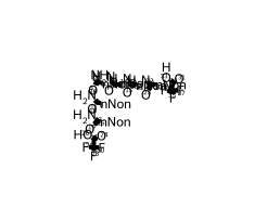 CCCCCCCCCC(N)=O.CCCCCCCCCC(N)=O.CCCCCCCCCC(N)=O.CCCCCCCCCC(N)=O.CCCCCCCCCC(N)=O.CCCCCCCCCC(N)=O.O=C(O)C(F)(F)F.O=C(O)C(F)(F)F